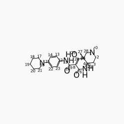 CN1CC[C@H]2NC(=O)C(C(=O)Nc3ccc(N4CCCCC4)cc3)=C(O)[C@]2(C)C1